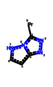 CC(C)c1nnc2cc[nH]n12